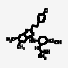 Cc1cc2nc(/C=C/c3ccc(Cl)cc3)nc(NC3CCCCC3NC(=N)N)c2cc1C.Cl.Cl